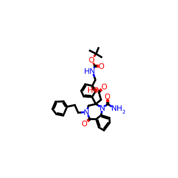 CC(C)(C)OC(=O)NCc1cccc(C2(CC(=O)O)CN(CCc3ccccc3)C(=O)c3ccccc3N2C(N)=O)c1